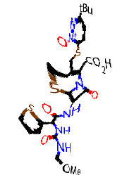 COCNC(=O)NC(C(=O)N[C@H]1C(=O)N2C(C(=O)O)=C(CSc3ccc(C(C)(C)C)n[n+]3[O-])CSC12)c1cccs1